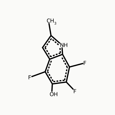 Cc1cc2c(F)c(O)c(F)c(F)c2[nH]1